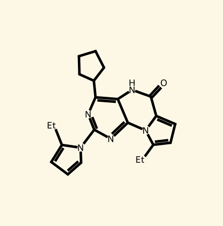 CCc1cccn1-c1nc(C2CCCC2)c2[nH]c(=O)c3ccc(CC)n3c2n1